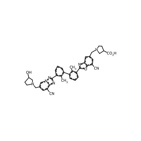 Cc1c(-c2nc3c(C#N)cc(CN4CCC(O)C4)cn3n2)cccc1-c1cccc(-c2nc3cc(CN4CCC(C(=O)O)C4)cc(C#N)c3o2)c1C